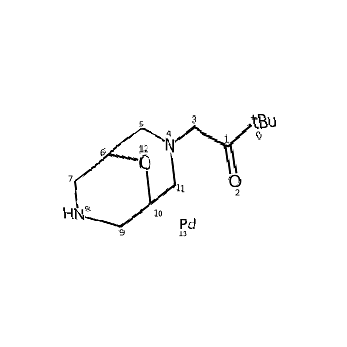 CC(C)(C)C(=O)CN1CC2CNCC(C1)O2.[Pd]